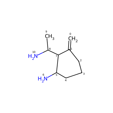 C=C1CCCC(N)C1C(C)N